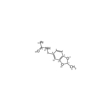 CC1Oc2ccc(CNC(=O)C(C)C)cc2O1